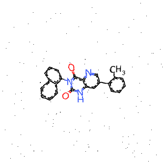 Cc1ccccc1-c1cnc2c(=O)n(-c3cccc4ccccc34)c(=O)[nH]c2c1